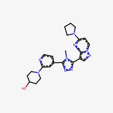 Cn1c(-c2ccnc(N3CCC(O)CC3)c2)nnc1-c1cnn2ccc(N3CCCC3)nc12